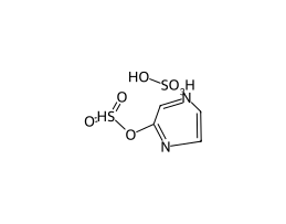 O=S(=O)(O)O.O=[SH](=O)Oc1cnccn1